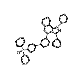 O=P(c1ccccc1)(c1ccccc1)c1ccc(-c2cccc(-c3cc4ccccc4c4c3c(-c3ccccc3)nn4-c3ccccc3)c2)cc1